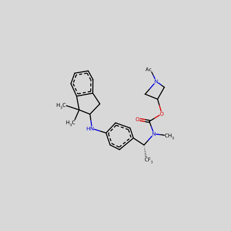 CC(=O)N1CC(OC(=O)N(C)[C@@H](c2ccc(NC3Cc4ccccc4C3(C)C)cc2)C(F)(F)F)C1